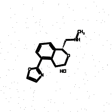 CNC[C@@H]1OCCc2c(-c3ncco3)cccc21.Cl